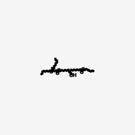 CC/C=C\CCCCOC(CCC(=O)OCCCCCCN(CCO)CCCCCCCC(=O)OCCC#CCCC)OCCCC/C=C\CC